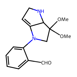 COC1(OC)CN(c2ccccc2C=O)C2=CCNC21